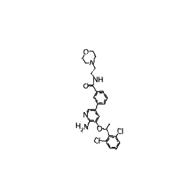 CC(Oc1cc(-c2cccc(C(=O)NCCN3CCOCC3)c2)cnc1N)c1c(Cl)cccc1Cl